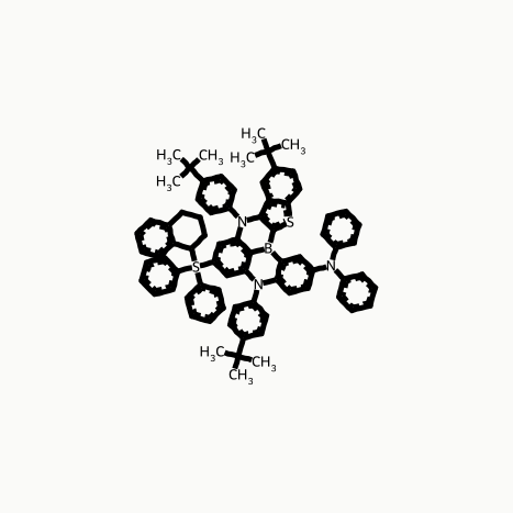 CC(C)(C)c1ccc(N2c3ccc(N(c4ccccc4)c4ccccc4)cc3B3c4sc5ccc(C(C)(C)C)cc5c4N(c4ccc(C(C)(C)C)cc4)c4cc(S(c5ccccc5)(c5ccccc5)C5CCCc6ccccc65)cc2c43)cc1